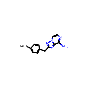 COc1ccc(Cc2nc3c(N)nccn3n2)cc1